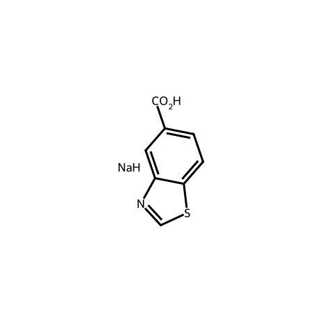 O=C(O)c1ccc2scnc2c1.[NaH]